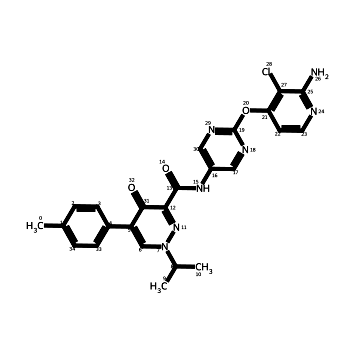 Cc1ccc(-c2cn(C(C)C)nc(C(=O)Nc3cnc(Oc4ccnc(N)c4Cl)nc3)c2=O)cc1